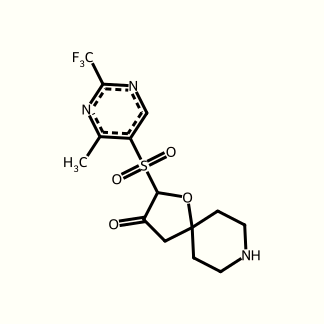 Cc1nc(C(F)(F)F)ncc1S(=O)(=O)C1OC2(CCNCC2)CC1=O